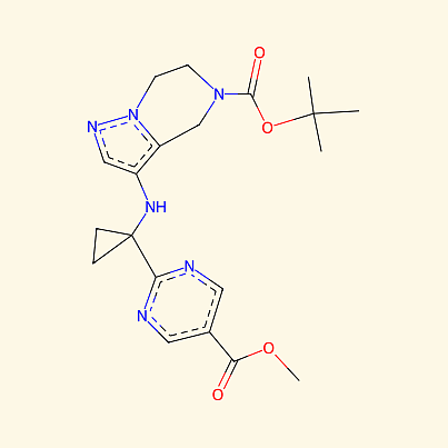 COC(=O)c1cnc(C2(Nc3cnn4c3CN(C(=O)OC(C)(C)C)CC4)CC2)nc1